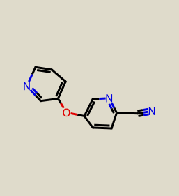 N#Cc1ccc(Oc2cccnc2)cn1